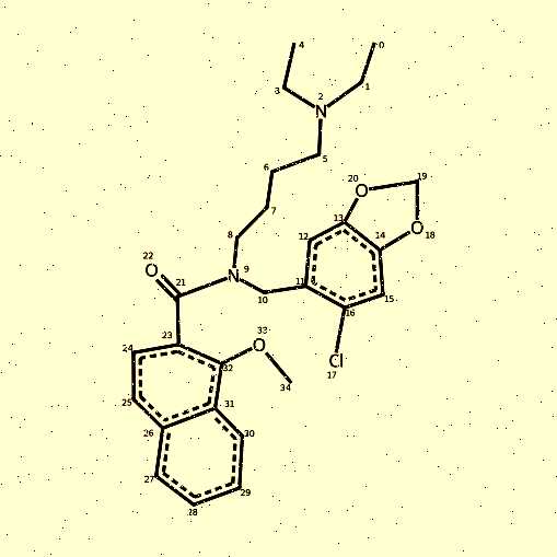 CCN(CC)CCCCN(Cc1cc2c(cc1Cl)OCO2)C(=O)c1ccc2ccccc2c1OC